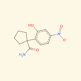 NC(=O)C1(c2ccc([N+](=O)[O-])cc2O)CCCC1